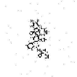 Cc1cc(-c2ccccc2CCNC(=O)CO)ccc1[C@H]1CNCC[C@@]12OC(=O)c1cc(F)c(F)cc12